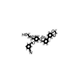 N#Cc1cccc(COc2cc(OCc3cccc(-c4ccc5c(c4)OCCO5)c3Br)ccc2CNCCO)c1